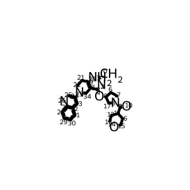 C=C/N=C(/O[C@H]1CCN(C(=O)C2CCOCC2)C1)C1=C(N)CCN(c2cnc3ccccc3c2)C1